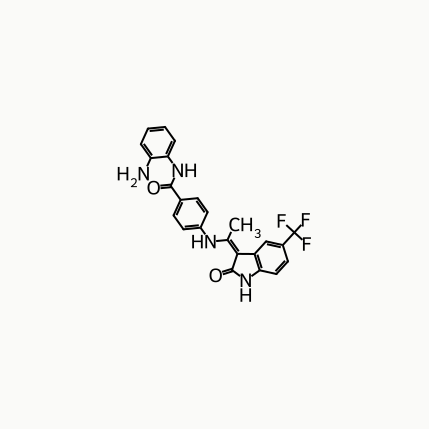 C/C(Nc1ccc(C(=O)Nc2ccccc2N)cc1)=C1/C(=O)Nc2ccc(C(F)(F)F)cc21